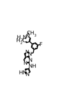 C=C/C(=C\N(C)N)c1cc(F)cc(Cn2ncc3cnc(Nc4cn[nH]c4)nc32)c1